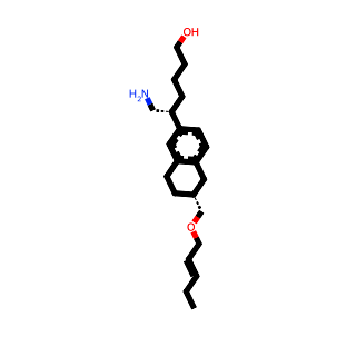 CC/C=C/COC[C@@H]1CCc2cc([C@H](CN)CCCCO)ccc2C1